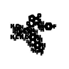 [2H]c1c([2H])c(C(F)(F)F)c([2H])c([2H])c1-c1c([2H])c([2H])c(C([2H])([2H])N(CCN(C([2H])([2H])C)C([2H])([2H])C)C(=O)Cn2c(SC([2H])([2H])c3ccc(F)cc3)nc(=O)c3c2CCC3)c(C)c1[2H]